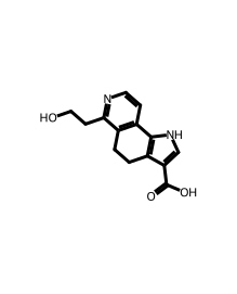 O=C(O)c1c[nH]c2c1CCc1c-2ccnc1CCO